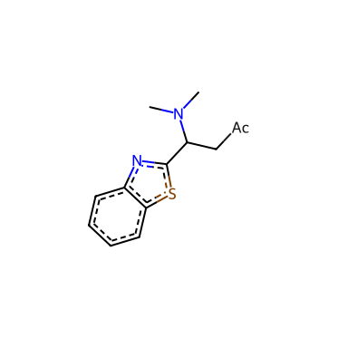 CC(=O)CC(c1nc2ccccc2s1)N(C)C